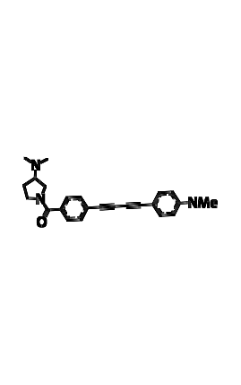 CNc1ccc(C#CC#Cc2ccc(C(=O)N3CCC(N(C)C)C3)cc2)cc1